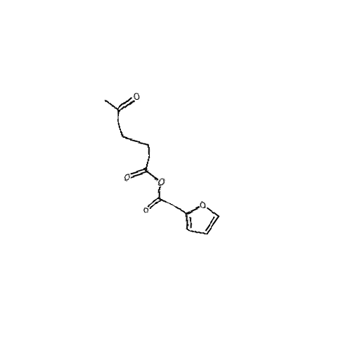 CC(=O)CCC(=O)OC(=O)c1ccco1